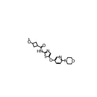 COC1CC(C(=O)Nc2ncc(Oc3ccc(N4CCOCC4)nc3)s2)C1